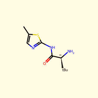 Cc1cnc(NC(=O)[C@@H](N)C(C)(C)C)s1